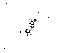 Cn1ncc(Nc2ccc3c(c2)oc(=O)n3C)c(Cl)c1=O